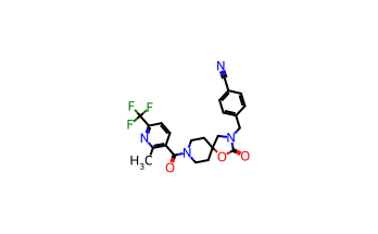 Cc1nc(C(F)(F)F)ccc1C(=O)N1CCC2(CC1)CN(Cc1ccc(C#N)cc1)C(=O)O2